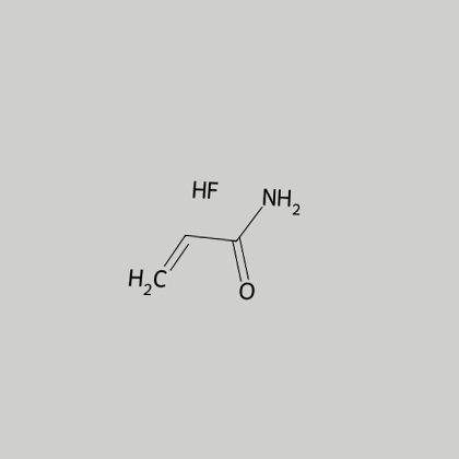 C=CC(N)=O.F